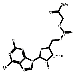 COC(=O)CO[PH](=O)OCC1OC(n2cnc3c(N)nc(Cl)nc32)[C@H](F)[C@H]1O